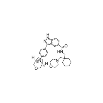 O=C(NCC1(CN2CCOCC2)CCCCC1)c1ccc2[nH]nc(-c3ccc(N4[C@@H]5CC[C@H]4COC5)cc3)c2c1